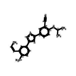 C/C=C\c1cc(-c2noc(-c3ccc(OC(C)C)c(C#N)c3)n2)ccc1C